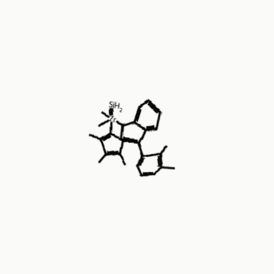 CC1=C(C)C(C)[C]([Zr]([CH3])([CH3])(=[SiH2])[CH]2C=C(c3cccc(C)c3C)c3ccccc32)=C1C